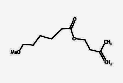 C=C(C)CCOC(=O)CCCCCOC